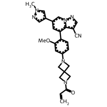 C=CC(=O)N1CC2(C1)CN(c1ccc(-c3cc(-c4cnn(C)c4)cn4ncc(C#N)c34)c(OC)c1)C2